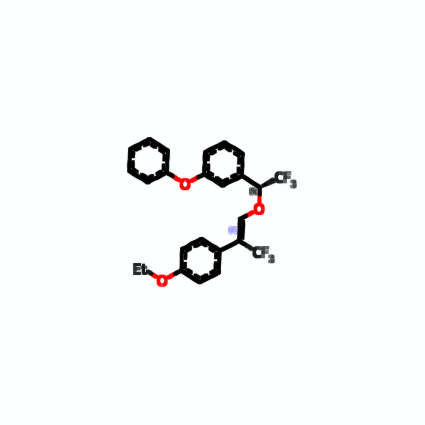 CCOc1ccc(/C(=C/O[C@@H](c2cccc(Oc3ccccc3)c2)C(F)(F)F)C(F)(F)F)cc1